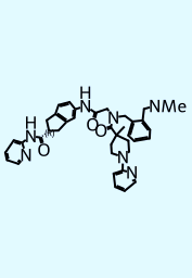 CNCc1ccccc1CN(CC(=O)Nc1ccc2c(c1)C[C@H](C(=O)Nc1ccccn1)C2)C(=O)C1(C)CCN(c2ccccn2)CC1